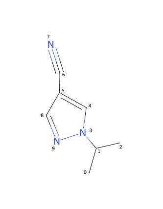 CC(C)n1cc(C#N)cn1